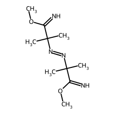 COC(=N)C(C)(C)N=NC(C)(C)C(=N)OC